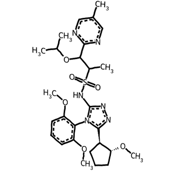 COc1cccc(OC)c1-n1c(NS(=O)(=O)C(C)C(OC(C)C)c2ncc(C)cn2)nnc1[C@@H]1CCC[C@H]1OC